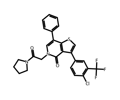 O=C(Cn1cc(-c2ccccc2)c2scc(-c3ccc(Cl)c(C(F)(F)F)c3)c2c1=O)N1CCCC1